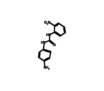 Nc1ccc(NC(=O)Nc2ccccc2[N+](=O)[O-])cc1